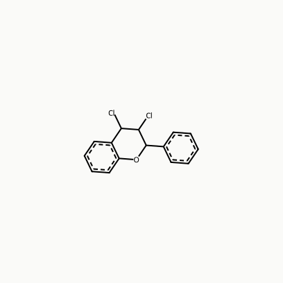 ClC1c2ccccc2OC(c2ccccc2)C1Cl